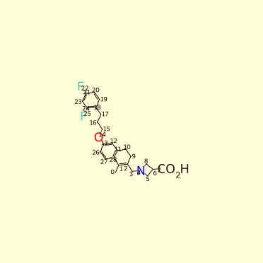 CC1=C(CN2CC(C(=O)O)C2)CCc2cc(OCCCc3ccc(F)cc3F)ccc21